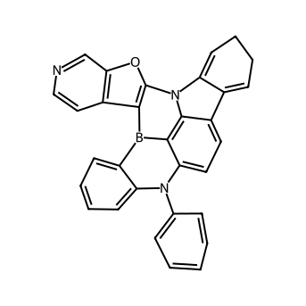 C1=c2c(n3c4c5c(ccc24)N(c2ccccc2)c2ccccc2B5c2c-3oc3cnccc23)=CCC1